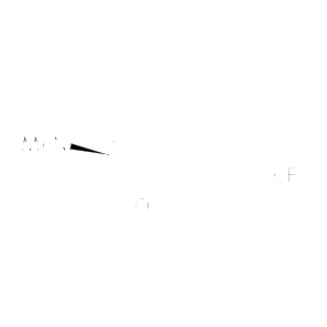 CN[C@H]1CC[C@H](C(F)(F)F)CO1